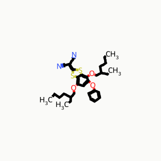 CCCCC(CC)COc1cc(Oc2ccccc2)c(OCC(CC)CCCC)c2c1SC(=C(C#N)C#N)S2